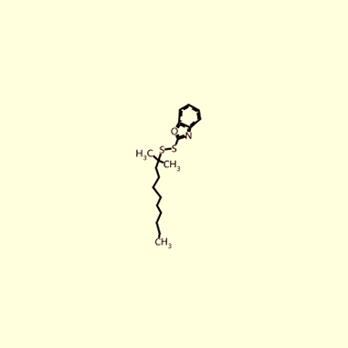 CCCCCCCCCC(C)(C)SSc1nc2ccccc2o1